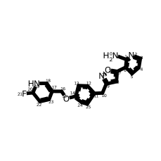 Nc1ncccc1-c1cc(Cc2ccc(OCC3=CNC(F)C=C3)cc2)no1